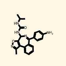 Cc1noc2c1-c1ccccc1C(c1ccc(N)cc1)=NC2NC(=O)NC(C)C